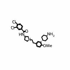 COc1ccc(CCN2CC[C@H](NC(=O)c3ccc(Cl)c(Cl)c3)C2)cc1[C@H]1CC[C@H](N)CC1